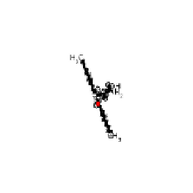 CCCCCCCCCCCCCC(=O)O[C@H](COC(=O)CCCCCCCCCCCC)COP(=O)(O)OC[C@H](N)C(=O)O